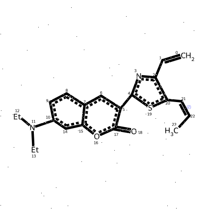 C=Cc1nc(-c2cc3ccc(N(CC)CC)cc3oc2=O)sc1/C=C\C